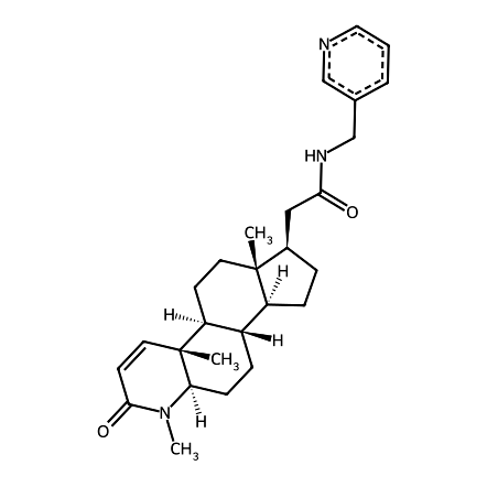 CN1C(=O)C=C[C@]2(C)[C@H]3CC[C@]4(C)[C@@H](CC(=O)NCc5cccnc5)CC[C@H]4[C@@H]3CC[C@@H]12